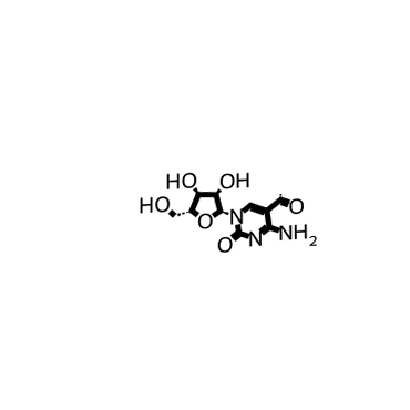 Nc1nc(=O)n([C@@H]2O[C@H](CO)[C@@H](O)[C@H]2O)cc1[C]=O